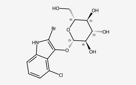 OC[C@H]1O[C@@H](Oc2c(Br)[nH]c3cccc(Cl)c23)[C@H](O)[C@@H](O)[C@@H]1O